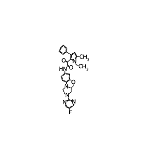 CCn1c(C)cc(-c2ccccc2)c1C(=O)C(=O)Nc1ccc2c(c1)OCC1CN(c3ncc(F)cn3)CCN21